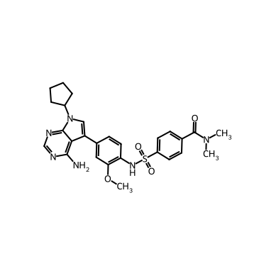 COc1cc(-c2cn(C3CCCC3)c3ncnc(N)c23)ccc1NS(=O)(=O)c1ccc(C(=O)N(C)C)cc1